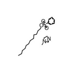 CCCCCCCCCCCCOS(=O)(=O)c1ccccc1.CN1C=NCC1